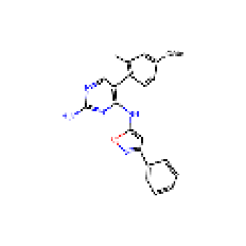 COc1ccc(-c2cnc(N)nc2Nc2cc(-c3ccccc3)no2)c(C)c1